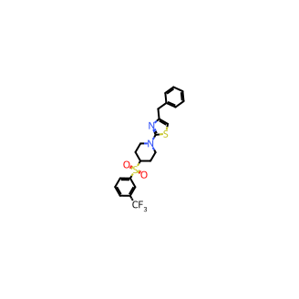 O=S(=O)(c1cccc(C(F)(F)F)c1)C1CCN(c2nc(Cc3ccccc3)cs2)CC1